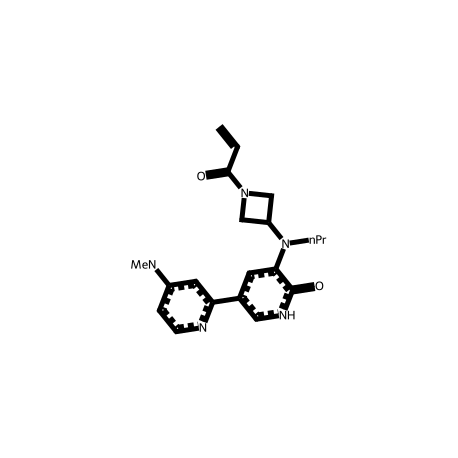 C=CC(=O)N1CC(N(CCC)c2cc(-c3cc(NC)ccn3)c[nH]c2=O)C1